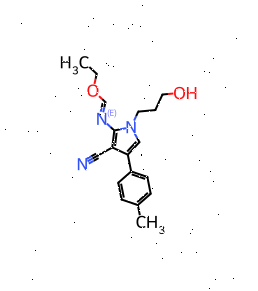 CCO/C=N/c1c(C#N)c(-c2ccc(C)cc2)cn1CCCO